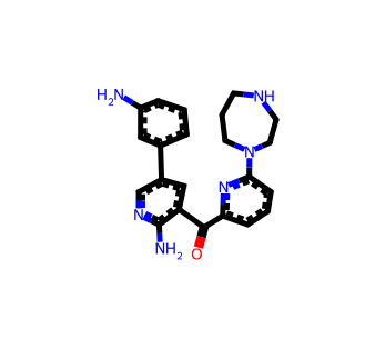 Nc1cccc(-c2cnc(N)c(C(=O)c3cccc(N4CCCNCC4)n3)c2)c1